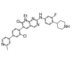 CCn1c(=O)c(-c2ccc(-c3ccnc(C)c3)cc2Cl)cc2cnc(Nc3ccc(C4CCNCC4)c(F)c3)nc21